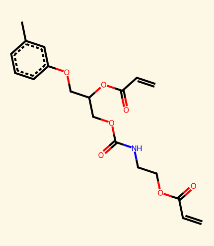 C=CC(=O)OCCNC(=O)OCC(COc1cccc(C)c1)OC(=O)C=C